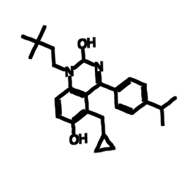 CC(C)c1ccc(C2=NC(O)N(CCC(C)(C)C)c3ccc(O)c(CC4CC4)c32)cc1